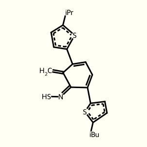 C=C1C(c2ccc(C(C)C)s2)=CC=C(c2ccc(C(C)CC)s2)/C1=N/S